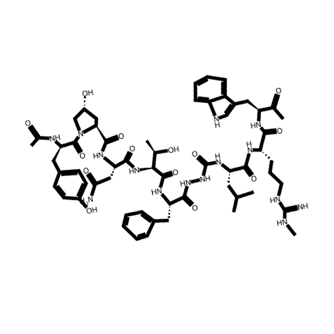 CNC(=N)NCCC[C@H](NC(=O)[C@H](CC(C)C)NC(=O)NNC(=O)[C@H](Cc1ccccc1)NC(=O)[C@@H](NC(=O)[C@H](CC(N)=O)NC(=O)[C@@H]1C[C@@H](O)CN1C(=O)[C@@H](Cc1ccc(O)cc1)NC(C)=O)[C@@H](C)O)C(=O)N[C@@H](Cc1c[nH]c2ccccc12)C(C)=O